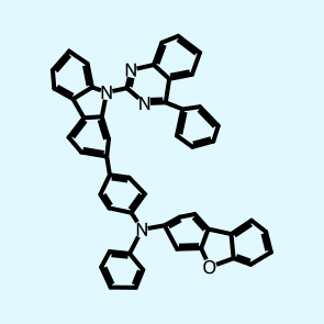 c1ccc(-c2nc(-n3c4ccccc4c4ccc(-c5ccc(N(c6ccccc6)c6ccc7c(c6)oc6ccccc67)cc5)cc43)nc3ccccc23)cc1